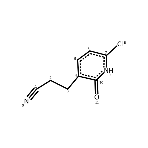 N#CCCc1ccc(Cl)[nH]c1=O